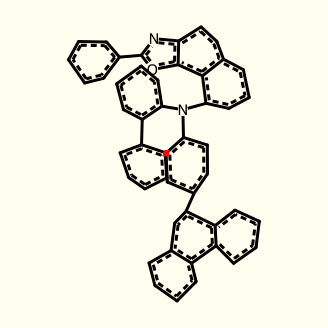 c1ccc(-c2nc3ccc4cccc(N(c5ccc(-c6cc7ccccc7c7ccccc67)cc5)c5ccccc5-c5ccccc5)c4c3o2)cc1